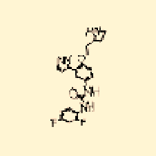 Cn1nccc1-c1cc(NC(=O)Nc2ccc(F)cc2F)ccc1OCCC1CCN1